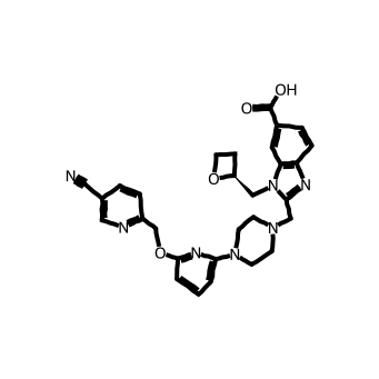 N#Cc1ccc(COc2cccc(N3CCN(Cc4nc5ccc(C(=O)O)cc5n4C[C@@H]4CCO4)CC3)n2)nc1